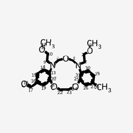 COCCN1COCN(CCOC)c2ccc(C=O)cc2OCCOc2cc(C)ccc21